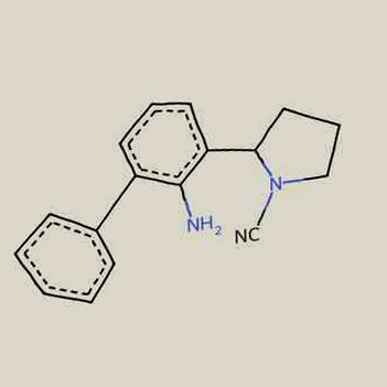 N#CN1CCCC1c1cccc(-c2ccccc2)c1N